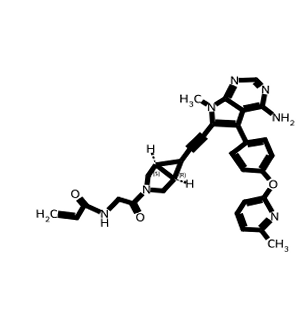 C=CC(=O)NCC(=O)N1C[C@@H]2C(C#Cc3c(-c4ccc(Oc5cccc(C)n5)cc4)c4c(N)ncnc4n3C)[C@@H]2C1